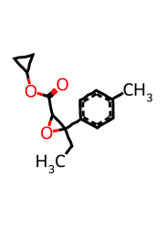 CCC1(c2ccc(C)cc2)OC1C(=O)OC1CC1